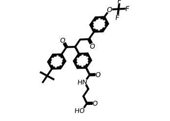 CC(C)(C)c1ccc(C(=O)C(CC(=O)c2ccc(OC(F)(F)F)cc2)c2ccc(C(=O)NCCC(=O)O)cc2)cc1